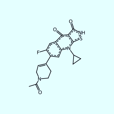 CC(=O)N1CC=C(c2cc3c(cc2F)c(=O)c2c(=O)[nH]sc2n3C2CC2)CC1